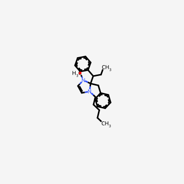 CCCCCN1C=CN(C)C1(Cc1ccccc1)C(CC)c1ccccc1